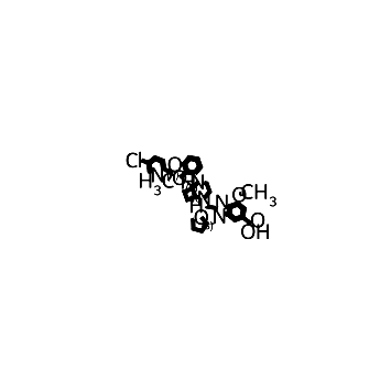 COc1cc(C(=O)O)cc2c1nc(CN1CCN(c3cccc4c3O[C@](C)(c3ccc(Cl)cn3)O4)[C@H]3CC[C@H]31)n2C[C@@H]1CCCO1